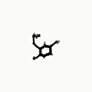 CCOC(=O)Cc1nc(Cl)ccc1Br